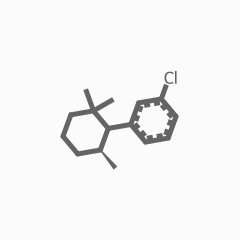 C[C@H]1CCCC(C)(C)[C]1c1cccc(Cl)c1